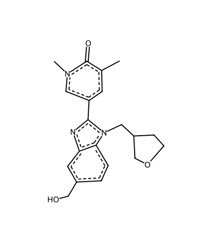 Cc1cc(-c2nc3cc(CO)ccc3n2CC2CCOC2)cn(C)c1=O